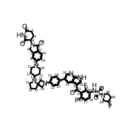 O=C1CCC(N2Cc3cc(N4CCC(N5CCCC56CN(c5ccc(-c7cnc8[nH]cc(C(=O)c9c(F)ccc(NS(=O)(=O)N%10CC[C@@H](F)C%10)c9F)c8c7)cc5)C6)CC4)ccc3C2=O)C(=O)N1